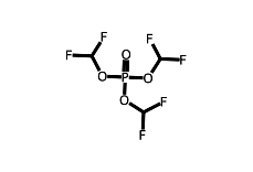 O=P(OC(F)F)(OC(F)F)OC(F)F